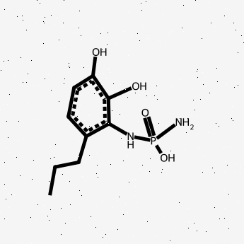 CCCc1ccc(O)c(O)c1NP(N)(=O)O